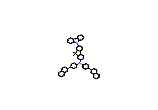 CC1(C)c2cc(N(c3ccc(-c4ccc5ccccc5c4)cc3)c3ccc(-c4ccc5ccccc5c4)cc3)ccc2-c2ccc(-n3c4ccccc4c4ccccc43)cc21